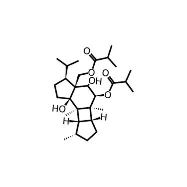 CC(C)C(=O)OC[C@@]12[C@H](O)[C@@H](OC(=O)C(C)C)[C@@]3(C)[C@@H]4CC[C@H](C)[C@@H]4[C@@]3(C)[C@]1(O)CC[C@H]2C(C)C